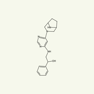 OC(CNc1cc(N2CC3CCC(C2)N3)ncn1)c1ccccc1